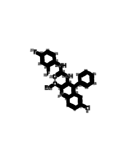 CCOc1nc2ccc(Cl)cc2c(-c2ccccc2)c1NC(=O)Nc1ccc(F)cc1F